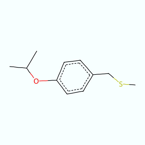 CSCc1ccc(OC(C)C)cc1